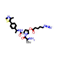 Cc1ncsc1-c1ccc(C(C)NC(=O)[C@@H]2C[C@@H](OC(=O)CCCCN=[N+]=[N-])CN2C(=O)C(N)C(C)(C)C)cc1